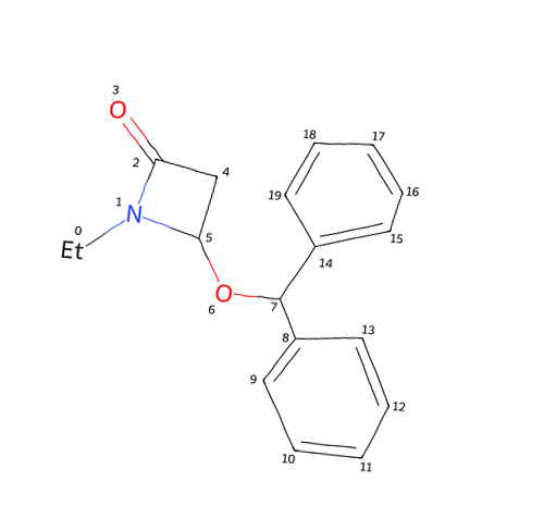 CCN1C(=O)CC1OC(c1ccccc1)c1ccccc1